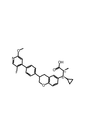 COc1cc(-c2ccc(C3COc4ccc([C@H](C5CC5)[C@H](C)C(=O)O)cc4C3)cc2)c(F)cn1